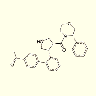 CC(=O)c1ccc(-c2ccccc2[C@@H]2CNC[C@H]2C(=O)N2CCOC[C@@H]2c2ccccc2)cc1